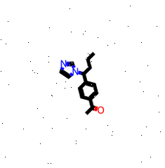 CCCC(c1ccc(C(C)=O)cc1)n1ccnc1